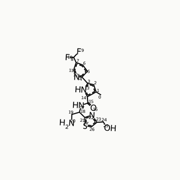 Cc1cc(-c2ccc(C(F)F)cn2)[nH]c1C(=O)NC(CN)c1nc(CO)cs1